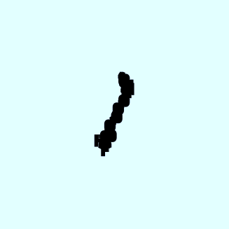 CCOCc1cn(CCOCCOCCOCCOCCC(=O)Oc2c(F)cc(F)cc2F)nn1